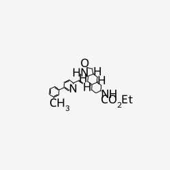 CCOC(=O)N[C@@H]1CC[C@@H]2[C@@H](C1)C[C@@H]1CC(=O)N[C@@H]1[C@H]2/C=C/c1ccc(-c2cccc(C)c2)cn1